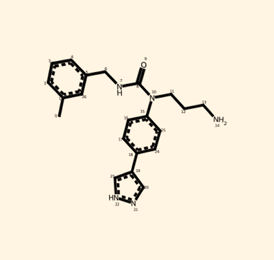 Cc1cccc(CNC(=O)N(CCCN)c2ccc(-c3cn[nH]c3)cc2)c1